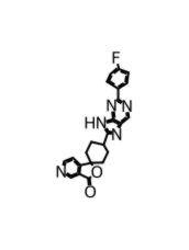 O=C1OC2(CCC(c3nc4cnc(-c5ccc(F)cc5)nc4[nH]3)CC2)c2ccncc21